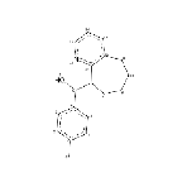 Cc1ccc(C(O)C2CCCCc3cccnc32)cc1